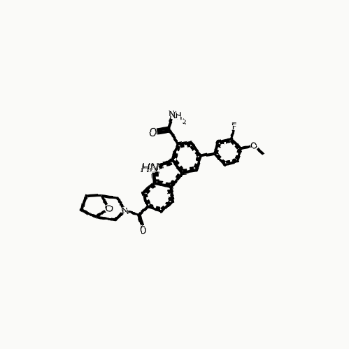 COc1ccc(-c2cc(C(N)=O)c3[nH]c4cc(C(=O)N5CC6CCC(C5)O6)ccc4c3c2)cc1F